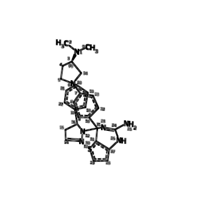 CN(C)[C@@H]1CCN(c2ccc(C3(N4N=CCC4c4ccccc4)N=C(N)Nc4ccsc43)cc2)C1